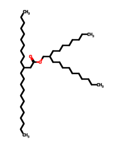 CCCCCCCCCCCCC(CCCCCCCCCC)CC(=O)OCC(CCCCCCCC)CCCCCCCCCC